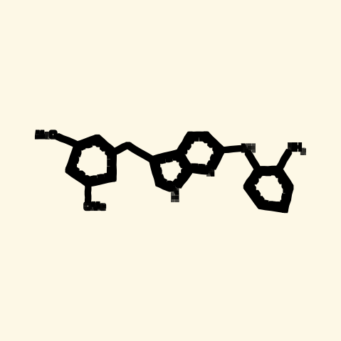 COc1cc(Cc2c[nH]c3nc(Nc4ccccc4N)ccc23)cc(OC)c1